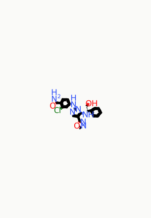 NC(=O)c1ccc(Nc2ncc(-c3nnco3)c(N[C@H](CO)c3ccccc3)n2)cc1Cl